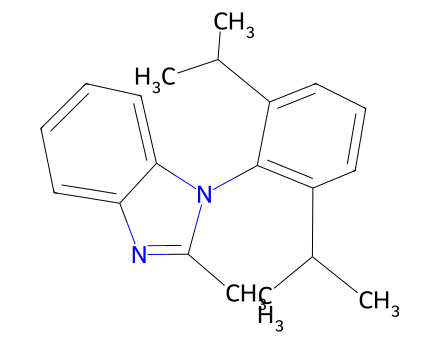 Cc1nc2ccccc2n1-c1c(C(C)C)cccc1C(C)C